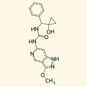 COc1n[nH]c2cc(NC(=O)NC(c3ccccc3)C3(O)CC3)ncc12